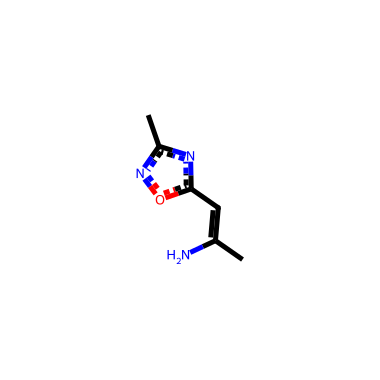 CC(N)=Cc1nc(C)no1